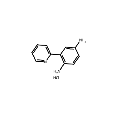 Cl.Nc1ccc(N)c(-c2ccccn2)c1